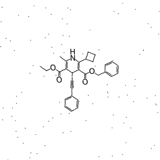 CCOC(=O)C1=C(C)NC(C2CCC2)=C(C(=O)OCc2ccccc2)C1C#Cc1ccccc1